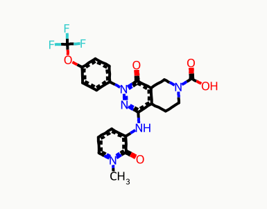 Cn1cccc(Nc2nn(-c3ccc(OC(F)(F)F)cc3)c(=O)c3c2CCN(C(=O)O)C3)c1=O